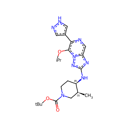 CC(C)Oc1c(-c2cn[nH]c2)ncc2nc(N[C@@H]3CCN(C(=O)OC(C)(C)C)C[C@@H]3C)nn12